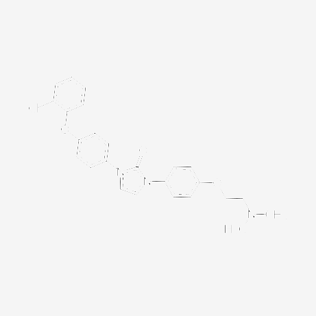 CN(C)CCOc1ccc(-n2ccn(-c3ccc(Oc4ccccc4Cl)cc3)c2=O)cc1